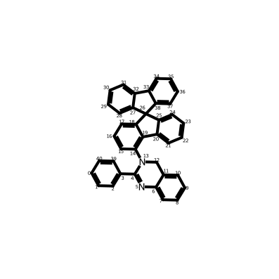 c1ccc(C2=Nc3ccccc3CN2c2cccc3c2-c2ccccc2C32c3ccccc3-c3ccccc32)cc1